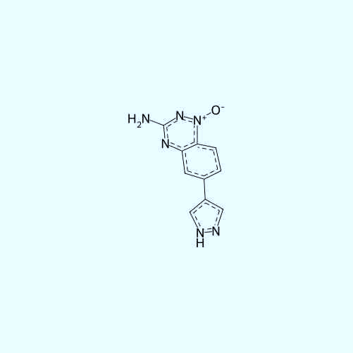 Nc1nc2cc(-c3cn[nH]c3)ccc2[n+]([O-])n1